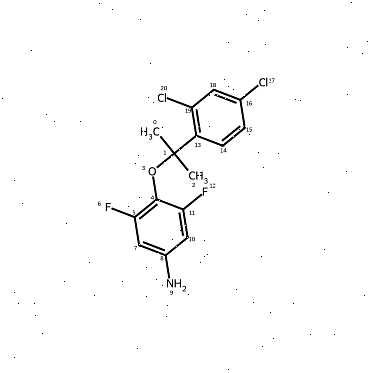 CC(C)(Oc1c(F)cc(N)cc1F)c1ccc(Cl)cc1Cl